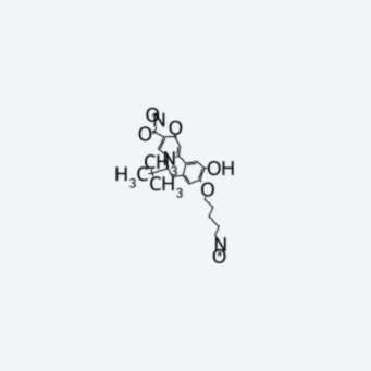 CC(C)(C)C1Cc2cc(OCCCCCN=O)c(O)cc2-c2cc(=O)c(C(=O)N=O)cn21